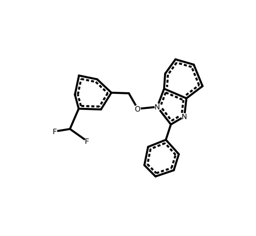 FC(F)c1cccc(COn2c(-c3ccccc3)nc3ccccc32)c1